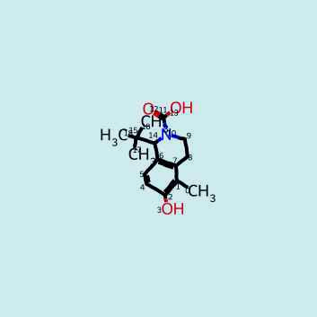 Cc1c(O)ccc2c1CCN(C(=O)O)C2C(C)(C)C